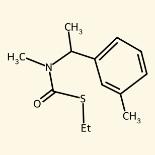 CCSC(=O)N(C)C(C)c1cccc(C)c1